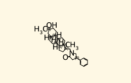 C[C@@]1(O)CC[C@H]2[C@H](CC[C@@H]3[C@@H]2CC[C@]2(C)[C@@H](CN4C[C@@H](c5ccccc5)CC4=O)CC[C@@H]32)C1